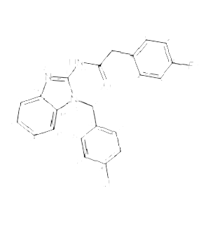 O=C(Cc1ccc(F)cc1)Nc1nc2ccccc2n1Cc1ccc(I)cc1